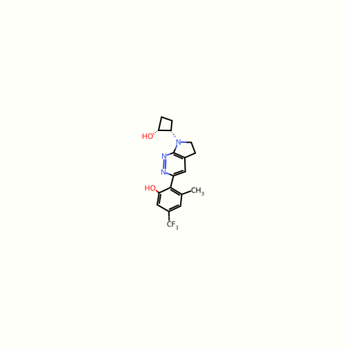 Cc1cc(C(F)(F)F)cc(O)c1-c1cc2c(nn1)N([C@H]1CC[C@H]1O)CC2